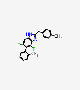 Cc1ccc(Cc2nc3c(F)c(-c4ccccc4C(F)(F)F)c(F)cc3[nH]2)cc1